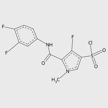 Cn1cc(S(=O)(=O)Cl)c(F)c1C(=O)Nc1ccc(F)c(F)c1